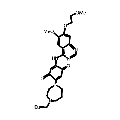 CCC(C)CN1CCCN(C2=CC(=O)C(Nc3ncnc4cc(OCCOC)c(OC)cc34)=CC2=O)CC1